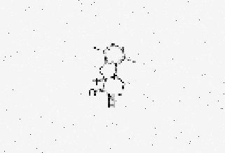 Cc1ccc(C)c2c1C[C@H]1C(=O)NC[C@@H](C)N21